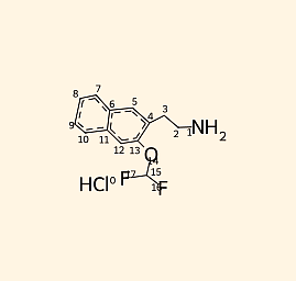 Cl.NCCc1cc2ccccc2cc1OC(F)F